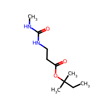 CCC(C)(C)OC(=O)CCNC(=O)NC